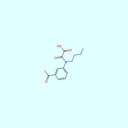 CCCCN(C(=O)C(=O)O)c1cccc(C(C)=O)c1